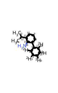 [2H]c1c([2H])c([2H])c(-c2cccc(C(C)C)c2N)c([2H])c1[2H]